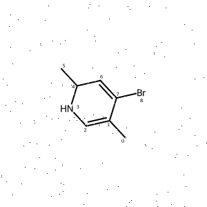 CC1=CNC(C)C=C1Br